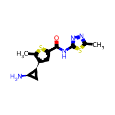 Cc1nnc(NC(=O)c2cc([C@@H]3C[C@H]3N)c(C)s2)s1